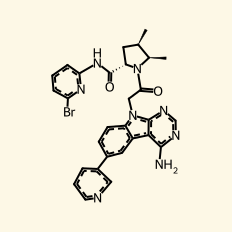 C[C@@H]1C[C@@H](C(=O)Nc2cccc(Br)n2)N(C(=O)Cn2c3ccc(-c4cccnc4)cc3c3c(N)ncnc32)[C@@H]1C